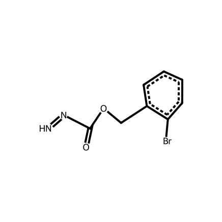 N=NC(=O)OCc1ccccc1Br